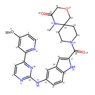 COc1ccnc(-c2ccnc(Nc3ccc4[nH]c(C(=O)N5CCC6(CC5)COCC(=O)N6C)cc4c3)n2)c1